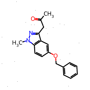 CC(=O)Cc1nn(C)c2ccc(OCc3ccccc3)cc12